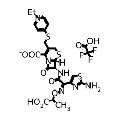 CC[n+]1ccc(SCC2=C(C(=O)[O-])N3C(=O)[C@@H](NC(=O)/C(=N\O[C@@H](C)C(=O)O)c4csc(N)n4)[C@H]3SC2)cc1.O=C(O)C(F)(F)F